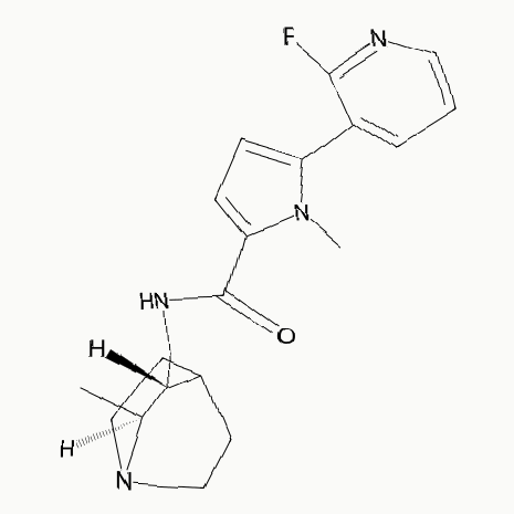 C[C@H]1[C@H](NC(=O)c2ccc(-c3cccnc3F)n2C)C2CCN1CC2